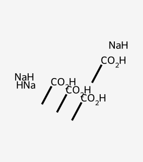 CC(=O)O.CC(=O)O.CC(=O)O.CC(=O)O.[NaH].[NaH].[NaH]